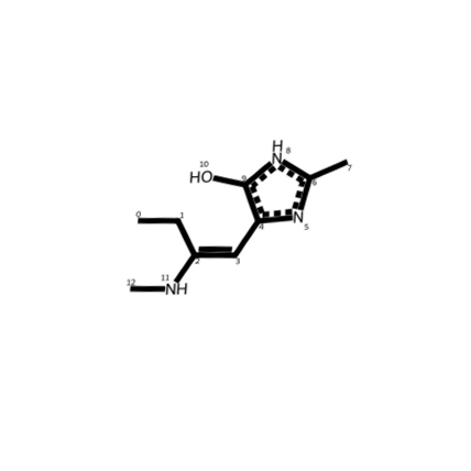 CC/C(=C\c1nc(C)[nH]c1O)NC